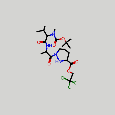 CC(NC(=O)C(C(C)C)N(C)C(=O)OC(C)(C)C)C(=O)N1CCCC(C(=O)OCC(Cl)(Cl)Cl)N1